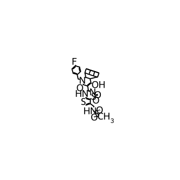 CS(=O)(=O)NCc1csc2c1S(=O)(=O)N=C(C1=C(O)C3C4C5C6C4C4C6C5C4C3N(Cc3ccc(F)cc3)C1=O)N2